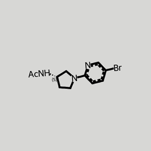 CC(=O)N[C@H]1CCN(c2ccc(Br)cn2)C1